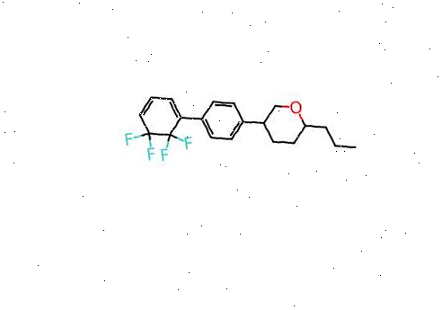 CCCC1CCC(c2ccc(C3=CC=CC(F)(F)C3(F)F)cc2)CO1